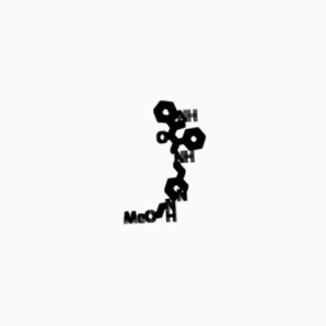 COCCNc1ccc(CCNCC(C(=O)c2c[nH]c3ccccc23)c2ccccc2)cn1